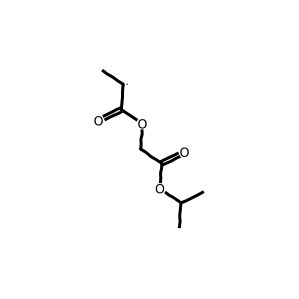 C[CH]C(=O)OCC(=O)OC(C)C